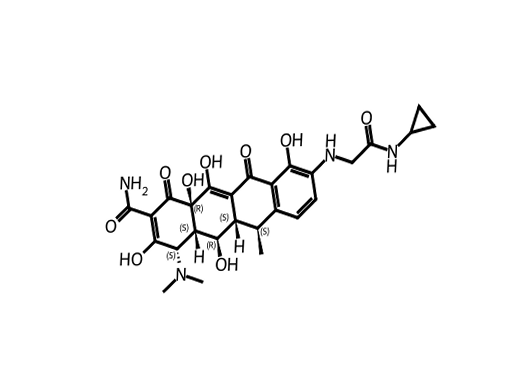 C[C@@H]1c2ccc(NCC(=O)NC3CC3)c(O)c2C(=O)C2=C(O)[C@@]3(O)C(=O)C(C(N)=O)=C(O)[C@@H](N(C)C)[C@H]3[C@H](O)[C@H]21